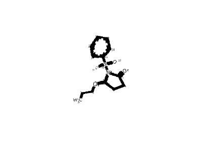 CCCOC1CCC(=O)N1S(=O)(=O)c1ccccc1